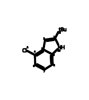 CC(C)(C)c1cc2c(Cl)cccc2[nH]1